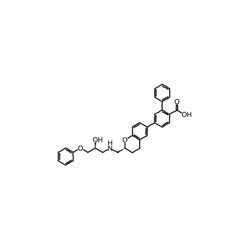 O=C(O)c1ccc(-c2ccc3c(c2)CC[C@@H](CNC[C@H](O)COc2ccccc2)O3)cc1-c1ccccc1